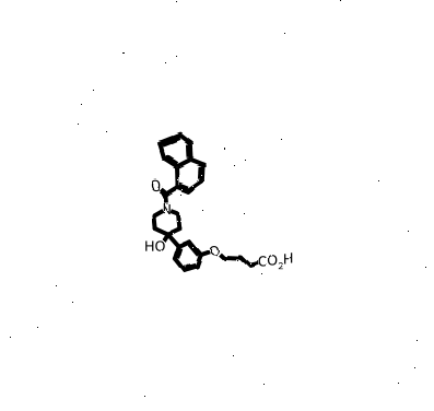 O=C(O)CCCOc1cccc(C2(O)CCN(C(=O)c3cccc4ccccc34)CC2)c1